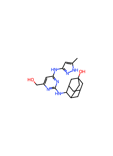 Cc1cc(Nc2cc(CO)nc(NC3C4CC5CC3CC(O)(C5)C4)n2)n[nH]1